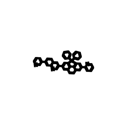 c1ccc(C2(c3ccccc3)c3cc(-c4cnc5cc(-c6cccnc6)ccc5c4)cc4ccc5cc(-c6ccccn6)cc2c5c34)cc1